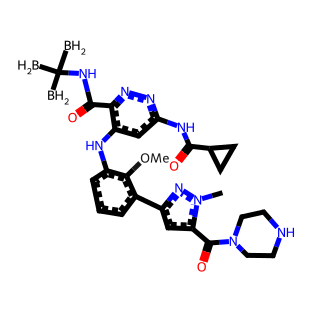 BC(B)(B)NC(=O)c1nnc(NC(=O)C2CC2)cc1Nc1cccc(-c2cc(C(=O)N3CCNCC3)n(C)n2)c1OC